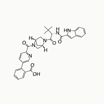 CC(C)(C)[C@H](NC(=O)c1cc2ccccc2[nH]1)C(=O)N1C[C@@H]2C[C@H]1CN2C(=O)c1ccc(-c2ccccc2C(=O)O)cn1